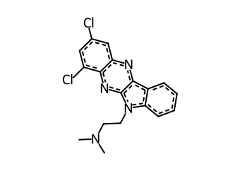 CN(C)CCn1c2ccccc2c2nc3cc(Cl)cc(Cl)c3nc21